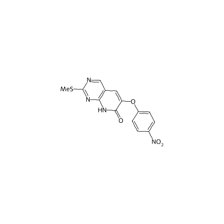 CSc1ncc2cc(Oc3ccc([N+](=O)[O-])cc3)c(=O)[nH]c2n1